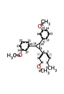 CC/C=C\C(=C/COC)C1C(c2cccc(OC)c2)C1c1cccc(OC)c1